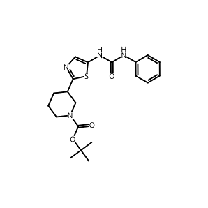 CC(C)(C)OC(=O)N1CCCC(c2ncc(NC(=O)Nc3ccccc3)s2)C1